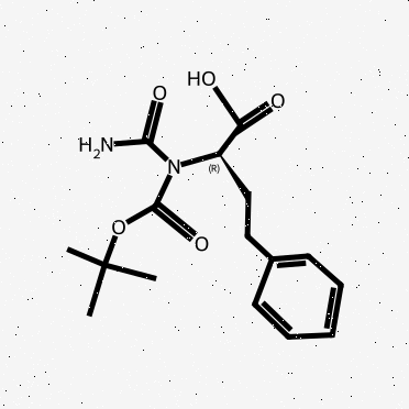 CC(C)(C)OC(=O)N(C(N)=O)[C@H](CCc1ccccc1)C(=O)O